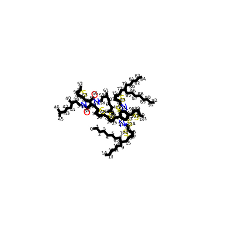 CCCCCCCCC(CCCCCC)Cc1ccc(-c2nc3c(-c4ccc(-c5ccc(C6=C7C(=O)N(CCC(C)CCCC(C)C)C(c8ccc(C)s8)=C7C(=O)N6CCC(C)CCCC(C)C)s5)s4)c4sc(-c5ccc(CC(CCCCCC)CCCCCCCC)s5)nc4c(-c4ccc(C)s4)c3s2)s1